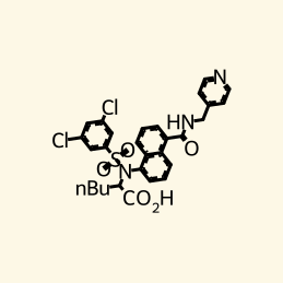 CCCCC(C(=O)O)N(c1cccc2c(C(=O)NCc3ccncc3)cccc12)S(=O)(=O)c1cc(Cl)cc(Cl)c1